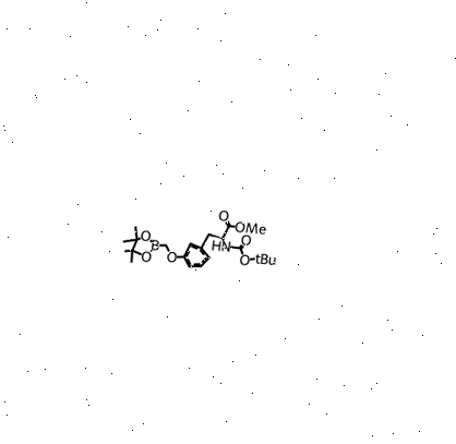 COC(=O)[C@H](Cc1cccc(OCB2OC(C)(C)C(C)(C)O2)c1)NC(=O)OC(C)(C)C